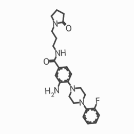 Nc1cc(C(=O)NCCCN2CCCC2=O)ccc1N1CCN(c2ccccc2F)CC1